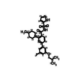 CC(C)COc1cc(F)cc(-c2ccc(C(=O)NS(=O)(=O)c3ccn[nH]3)c(N3CCC(C)CC3)n2)c1